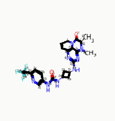 C[C@H]1C(=O)N2CCCc3nc(N[C@H]4C[C@@H](NC(=O)Nc5ccc(C(F)(F)F)nc5)C4)nc(c32)N1C